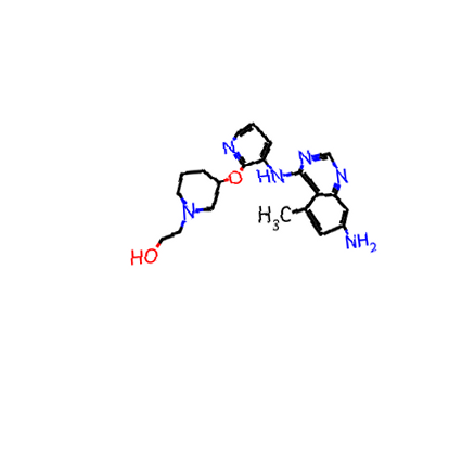 Cc1cc(N)cc2ncnc(Nc3cccnc3OC3CCCN(CCO)C3)c12